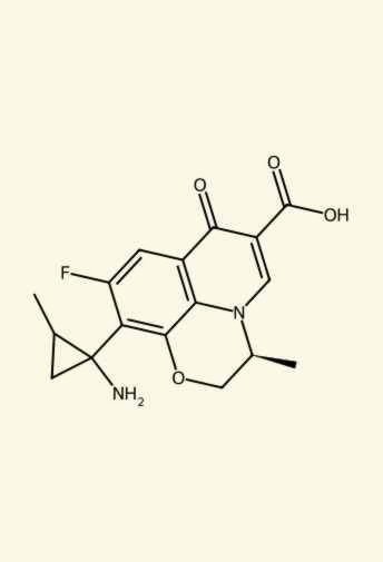 CC1CC1(N)c1c(F)cc2c(=O)c(C(=O)O)cn3c2c1OC[C@@H]3C